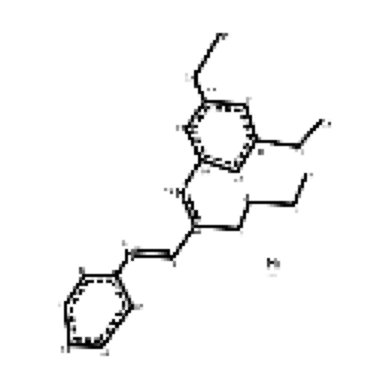 CCCCC(C=Nc1ccccc1)=Nc1cc(CC)cc(CC)c1.[Ni]